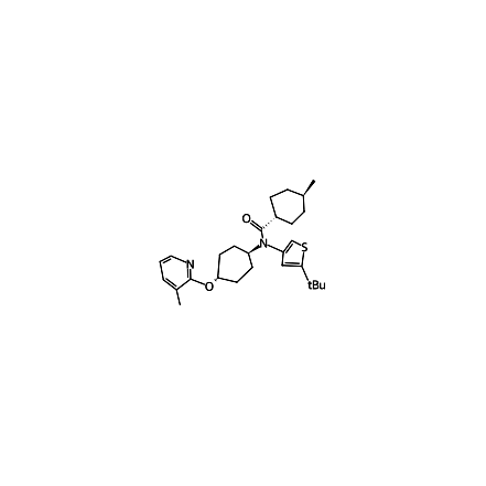 Cc1cccnc1O[C@H]1CC[C@H](N(c2csc(C(C)(C)C)c2)C(=O)[C@H]2CC[C@H](C)CC2)CC1